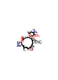 CC[C@H]1OC(=O)CC[C@H](C)[C@@H](OC2OC(C)CC(N(C)C)C2O)[C@@H](CC=O)C[C@@H](C)C(=O)/C=C/C(C)=C/[C@@H]1CN(C)C